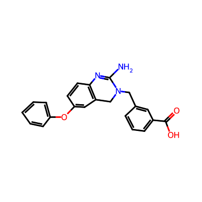 NC1=Nc2ccc(Oc3ccccc3)cc2CN1Cc1cccc(C(=O)O)c1